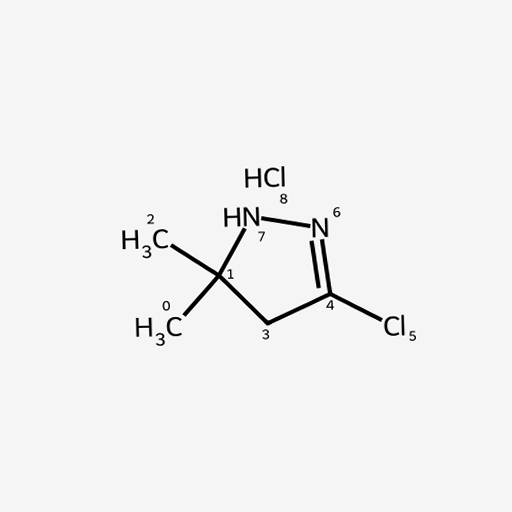 CC1(C)CC(Cl)=NN1.Cl